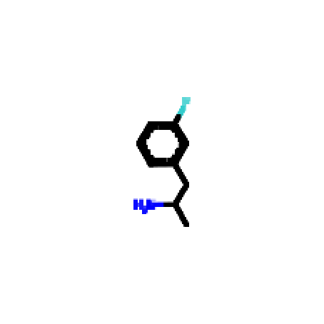 C[C](N)Cc1cccc(F)c1